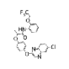 CC(Oc1ccc(Oc2cnc3cc(Cl)ccc3n2)cc1)C(=O)Nc1ccccc1OCC(F)(F)F